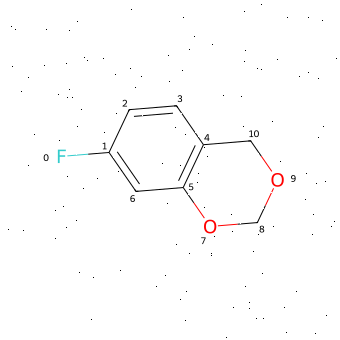 Fc1ccc2c(c1)OCOC2